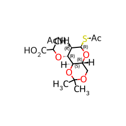 CC(=O)N[C@@H]1[C@@H](OC(C)C(=O)O)[C@@H]2OC(C)(C)OC[C@H]2O[C@@H]1SC(C)=O